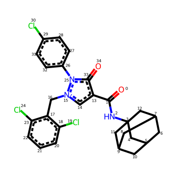 O=C(NC12CC3CC(CC(C3)C1)C2)c1cn(Cc2c(Cl)cccc2Cl)n(-c2ccc(Cl)cc2)c1=O